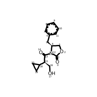 O=C1OC[C@H](Cc2ccccc2)N1C(=O)[C@@H](CO)C1CC1